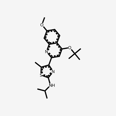 COc1ccc2c(OC(C)(C)C)cc(-c3nc(NC(C)C)sc3C)nc2c1